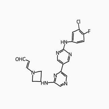 O=CC=CN1CC(Nc2cncc(-c3cnc(Nc4ccc(F)c(Cl)c4)nc3)n2)C1